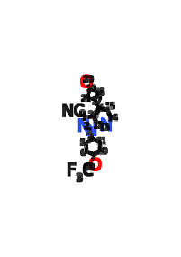 N#Cc1nn(-c2ccc(OC(F)(F)F)cc2)c2nccc(C3CC(=O)C3)c12